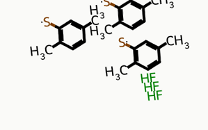 Cc1ccc(C)c([S])c1.Cc1ccc(C)c([S])c1.Cc1ccc(C)c([S])c1.F.F.F